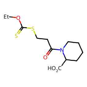 CCOC(=S)SCCC(=O)N1CCCCC1C(=O)O